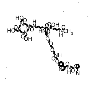 CC(=O)NCCCC[C@H](NC(=O)[C@H](CCCCNC(=O)CN1CCN(CC(=O)O)CCN(CC(=O)O)CCN(CC(=O)O)CC1)NC(=O)CCOCCOCCOCCNC(=O)COc1ccc2c(C(=O)NCC(=O)N3CCC[C@H]3C#N)ccnc2c1)C(=O)O